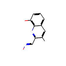 [2H]c1cc2cccc(O)c2nc1C=NO